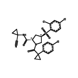 N#CC1(NC(=O)[C@@H]2C[C@@H](S(=O)(=O)c3ccc(Cl)cc3Cl)CN2C(=O)C2(c3ccc(Cl)cc3)CC2)CC1